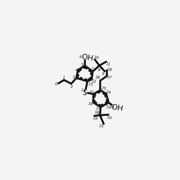 CCCc1cc(O)c(C(C)(C)C)cc1Sc1cc(C(C)(C)C)c(O)cc1CCC